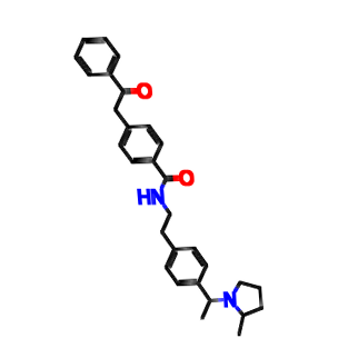 CC1CCCN1C(C)c1ccc(CCNC(=O)c2ccc(CC(=O)c3ccccc3)cc2)cc1